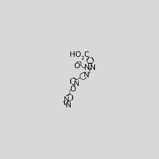 O=C(O)c1ccc2nc(CN3CCC(c4cccc(OCc5ccc6nccn6c5)n4)CC3)n(CC3CCO3)c2c1